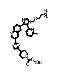 Cc1cccc(-c2c(-c3ccc4ncc(-c5nc(C6=CCN(C(=O)OC(C)(C)C)CC6)cs5)cc4c3)ncn2COCC[SiH](C)C)n1